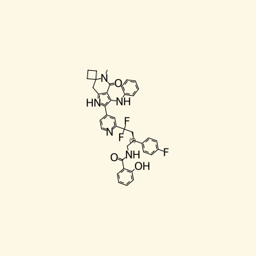 CN1C(=O)c2c([nH]c(-c3ccnc(C(F)(F)C[C@H](CNC(=O)c4ccccc4O)c4ccc(F)cc4)c3)c2Nc2ccccc2)CC12CCC2